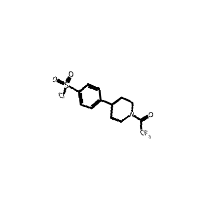 O=C(N1CCC(c2ccc(S(=O)(=O)Cl)cc2)CC1)C(F)(F)F